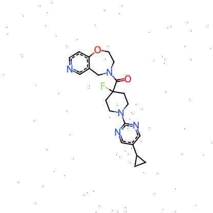 O=C(N1CCOc2ccncc2C1)C1(F)CCN(c2ncc(C3CC3)cn2)CC1